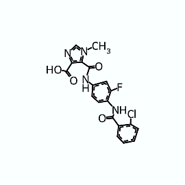 Cn1cnc(C(=O)O)c1C(=O)Nc1ccc(NC(=O)c2ccccc2Cl)c(F)c1